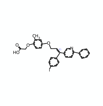 Cc1cc(OC/C=C(\c2ccc(I)cc2)c2ccc(-c3ccccc3)nc2)ccc1OCC(=O)O